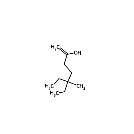 C=C(O)CCC(C)(CC)CC